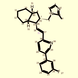 Cc1nccn1C[C@H]1C[C@H]2CCCC[C@H]2[C@@H]1/C=C/c1ccc(-c2cccc(F)c2)cn1